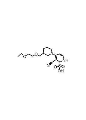 CCOCCOCC1CCCN(C2=C(C#N)C(S(=O)(=O)O)NC=C2)C1